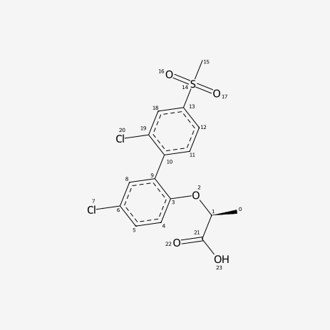 C[C@H](Oc1ccc(Cl)cc1-c1ccc(S(C)(=O)=O)cc1Cl)C(=O)O